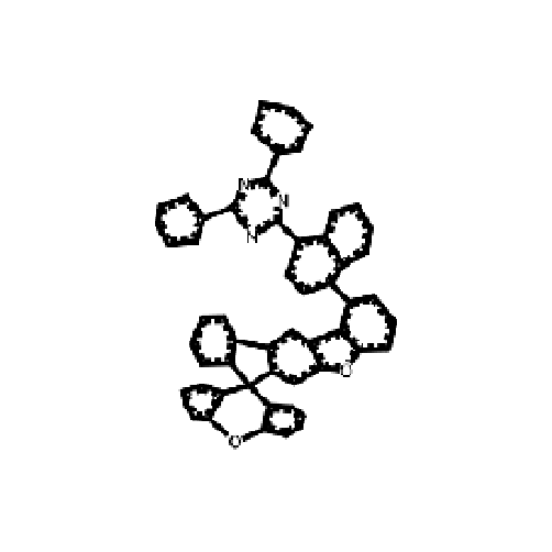 c1ccc(-c2nc(-c3ccccc3)nc(-c3ccc(-c4cccc5oc6cc7c(cc6c45)-c4ccccc4C74c5ccccc5Oc5ccccc54)c4ccccc34)n2)cc1